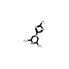 CC1CN(c2cnc(C(F)(F)F)nc2)CC(C)N1